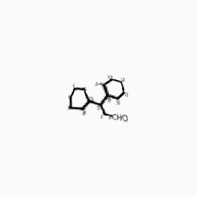 O=CCC(C1CCCCC1)C1CCCCC1